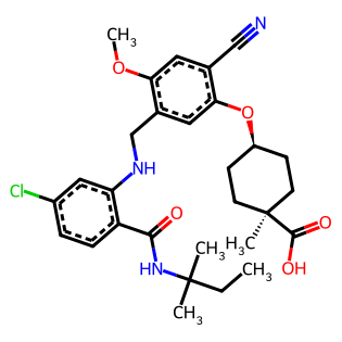 CCC(C)(C)NC(=O)c1ccc(Cl)cc1NCc1cc(O[C@H]2CC[C@@](C)(C(=O)O)CC2)c(C#N)cc1OC